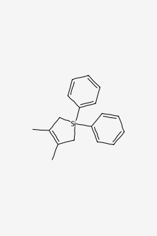 CC1=C(C)C[Si](c2ccccc2)(c2ccccc2)C1